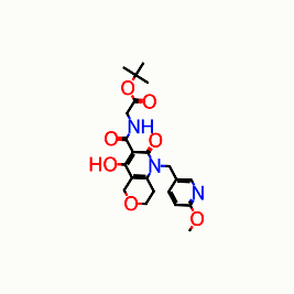 COc1ccc(Cn2c3c(c(O)c(C(=O)NCC(=O)OC(C)(C)C)c2=O)COCC3)cn1